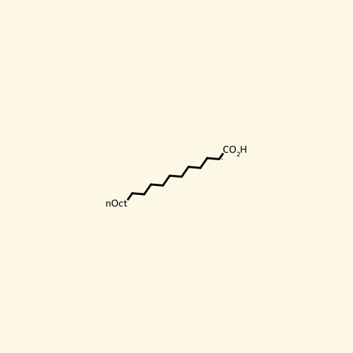 CCCCCCCCCCCCCCCCC[CH]C(=O)O